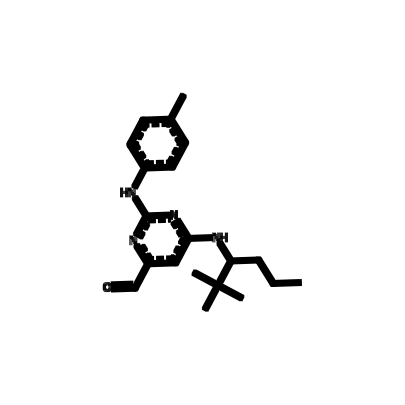 CCCC(Nc1cc(C=O)nc(Nc2ccc(C)cc2)n1)C(C)(C)C